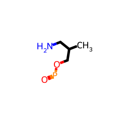 CC(CN)COP=O